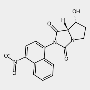 O=C1[C@@H]2[C@H](O)CCN2C(=O)N1c1ccc([N+](=O)[O-])c2ccccc12